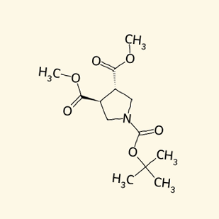 COC(=O)[C@@H]1CN(C(=O)OC(C)(C)C)C[C@H]1C(=O)OC